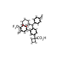 O=C(O)C1(c2ccc(C(c3ccc(F)cc3)N3CCCCC3)c(-c3ccc(C(F)(F)F)c(F)c3)c2)CCC1